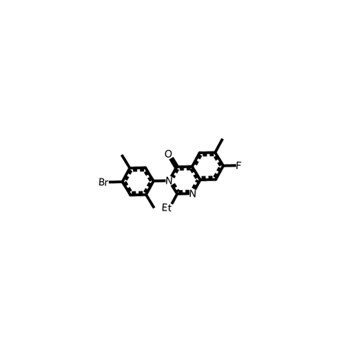 CCc1nc2cc(F)c(C)cc2c(=O)n1-c1cc(C)c(Br)cc1C